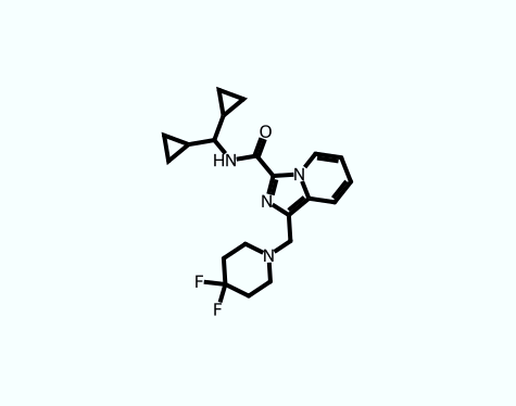 O=C(NC(C1CC1)C1CC1)c1nc(CN2CCC(F)(F)CC2)c2ccccn12